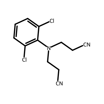 N#CCCN(CCC#N)c1c(Cl)cccc1Cl